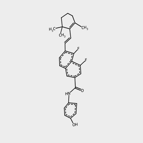 CC1=C(C=Cc2ccc3cc(C(=O)Nc4ccc(O)cc4)cc(F)c3c2F)C(C)(C)CCC1